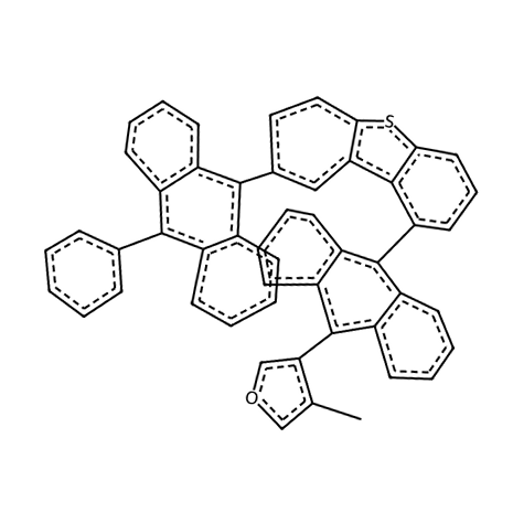 Cc1cocc1-c1c2ccccc2c(-c2cccc3sc4ccc(-c5c6ccccc6c(-c6ccccc6)c6ccccc56)cc4c23)c2ccccc12